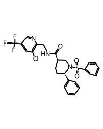 O=C(NCc1ncc(C(F)(F)F)cc1Cl)[C@@H]1CC[C@H](c2ccccc2)N(S(=O)(=O)c2ccccc2)C1